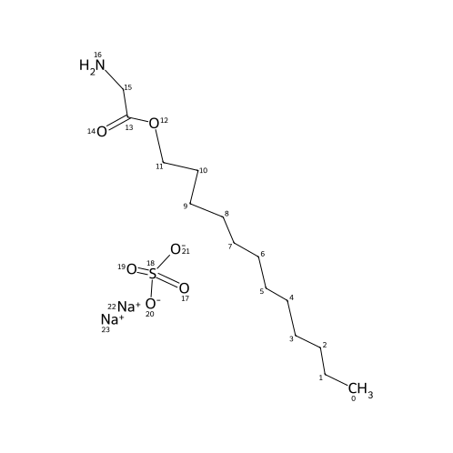 CCCCCCCCCCCCOC(=O)CN.O=S(=O)([O-])[O-].[Na+].[Na+]